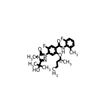 CCC[C@H](C)Oc1cc(-n2nc(C(C)(C)O)n(C)c2=O)c(F)cc1C(=O)Nc1c(C)cccc1F